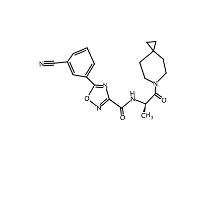 C[C@@H](NC(=O)c1noc(-c2cccc(C#N)c2)n1)C(=O)N1CCC2(CC1)CC2